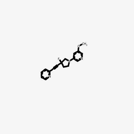 COc1cncc(N2CCC(F)(C#Cc3ccccn3)C2)c1